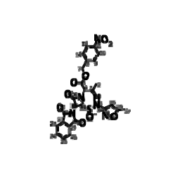 C=C(C)C(C(=O)OCc1ccc([N+](=O)[O-])cc1)N1C(=O)[C@@H](N2C(=O)c3ccccc3C2=O)[C@H]1[S+]([O-])Nc1cc(C)on1